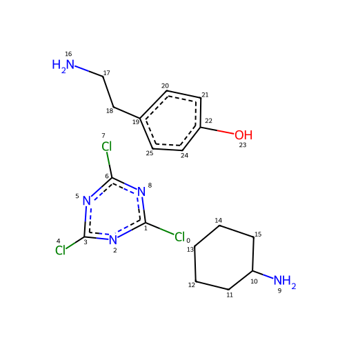 Clc1nc(Cl)nc(Cl)n1.NC1CCCCC1.NCCc1ccc(O)cc1